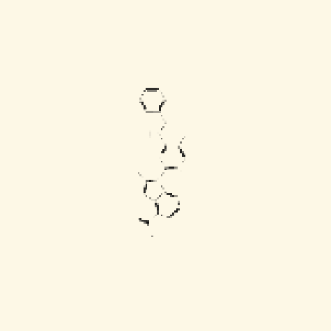 Cc1nc(-n2c(C)cc3c(C(N)=O)cccc32)nc(NCc2ccccc2)c1C